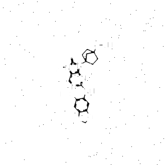 COC12CCC(n3c(=O)n(C)c4cnc(Nc5cc6c(cc5C)OCO6)nc43)(CC1)C2